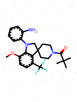 COc1ccc(C(F)(F)F)c2c1N(c1ccccc1N)CC21CCN(C(=O)C(C)(C)C)CC1